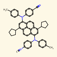 [C-]#[N+]c1ccc(N(c2ccc(C)cc2)c2cc(C3CCCC3)c3ccc4c(N(c5ccc(C)cc5)c5ccc(C#N)cc5)cc(C5CCCC5)c5ccc2c3c54)cc1